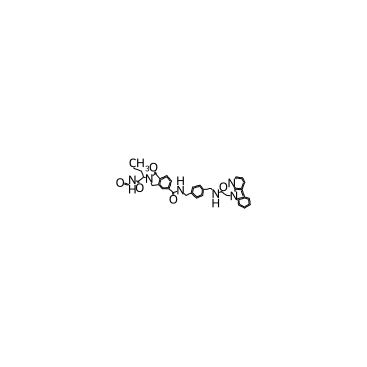 CCCC(C(=O)NC=O)N1Cc2cc(C(=O)NCc3ccc(CNC(=O)Cn4c5ccccc5c5cccnc54)cc3)ccc2C1=O